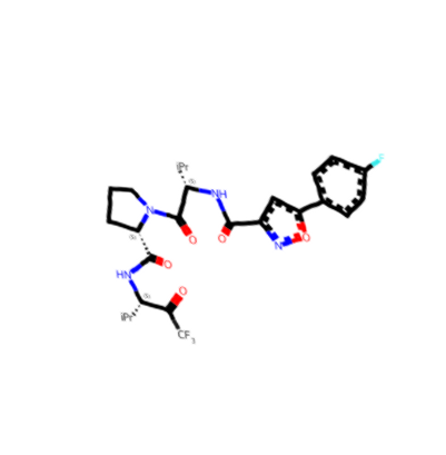 CC(C)[C@H](NC(=O)c1cc(-c2ccc(F)cc2)on1)C(=O)N1CCC[C@H]1C(=O)N[C@H](C(=O)C(F)(F)F)C(C)C